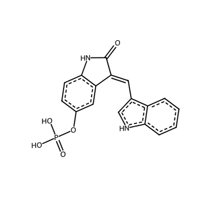 O=C1Nc2ccc(OP(=O)(O)O)cc2/C1=C\c1c[nH]c2ccccc12